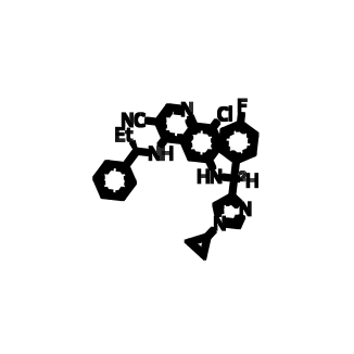 [2H]C(Nc1cc(Cl)c2ncc(C#N)c(N[C@H](CC)c3ccccc3)c2c1)(c1ccc(F)cc1)c1cn(C2CC2)cn1